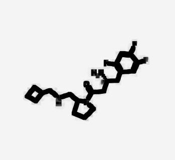 N[C@@H](CC(=O)N1CCCC1CNCC1CCC1)Cc1cc(F)c(F)cc1F